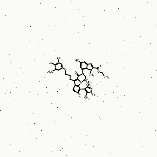 CCOC(=O)c1cc2cc(O)cc(N3C[C@@H](C)n4c(c(CCCOc5cc(C)c(Cl)c(C)c5)c5ccc(Cl)c(-c6c(C)nn(C)c6C)c54)C3=O)c2n1C